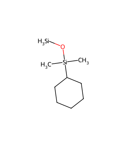 C[Si](C)(O[SiH3])C1CCCCC1